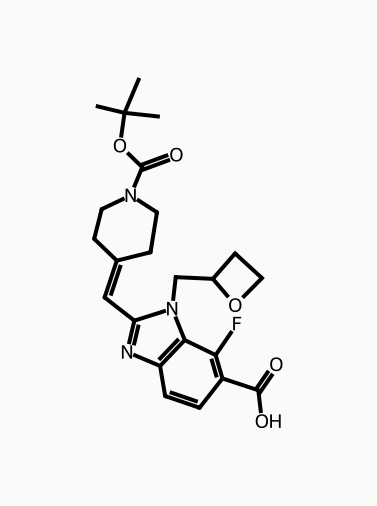 CC(C)(C)OC(=O)N1CCC(=Cc2nc3ccc(C(=O)O)c(F)c3n2CC2CCO2)CC1